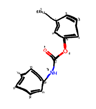 CC(C)(C)c1cccc(OC(=O)Nc2ccccc2)c1